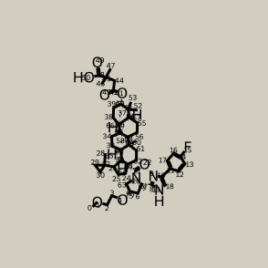 COCCO[C@@H]1C[C@@H](c2nc(-c3ccc(F)cc3)c[nH]2)N(C(=O)[C@]23CCC(C4(C)CC4)[C@@H]2[C@H]2CC[C@@H]4[C@@]5(C)CC[C@H](OC(=O)CC(C)(C)C(=O)O)C(C)(C)[C@@H]5CC[C@@]4(C)[C@]2(C)CC3)C1